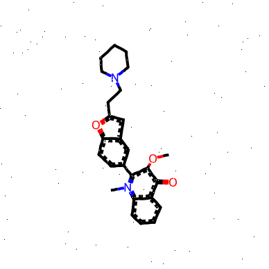 COc1c(-c2ccc3oc(CCN4CCCCC4)cc3c2)n(C)c2ccccc2c1=O